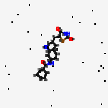 O=C1NC(=O)C(Cc2cnc3cc(NC(=O)c4ccccc4)ccc3c2)S1